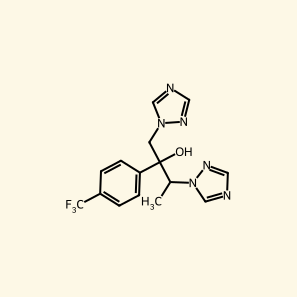 CC(n1cncn1)C(O)(Cn1cncn1)c1ccc(C(F)(F)F)cc1